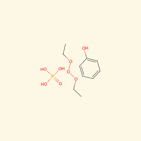 CCOOOCC.O=P(O)(O)O.Oc1ccccc1